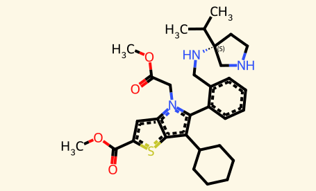 COC(=O)Cn1c(-c2ccccc2CN[C@]2(C(C)C)CCNC2)c(C2CCCCC2)c2sc(C(=O)OC)cc21